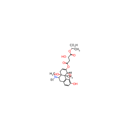 CCN(C)[C@@H]1Cc2ccc(O)c3c2[C@@]2(C)[C@@H](O3)C(OC(=O)C[C@H](O)C(=O)O[C@@H](C)C(=O)O)=CC[C@@]12O